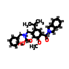 COc1cc(CN(Cc2ccccc2)C(=O)O)c(C(C)C)cc1C(=O)n1cc2ccccc2c1